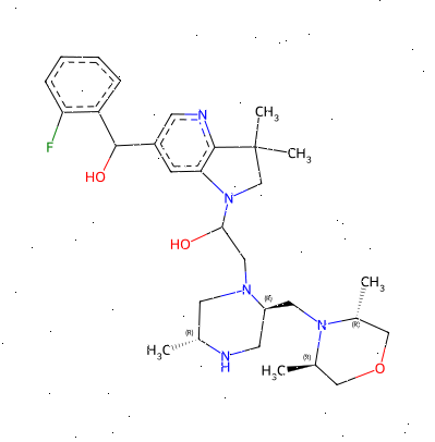 C[C@@H]1CN(CC(O)N2CC(C)(C)c3ncc(C(O)c4ccccc4F)cc32)[C@@H](CN2[C@H](C)COC[C@H]2C)CN1